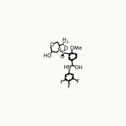 COc1ccc(C(O)Nc2cc(F)c(F)c(F)c2)cc1S(=O)(=O)N1CC(O)COCC1C